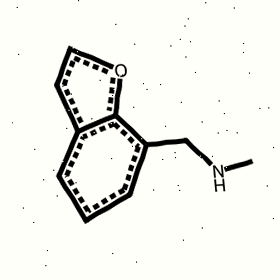 CNCc1cccc2ccoc12